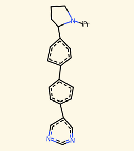 CC(C)N1CCCC1c1ccc(-c2ccc(-c3cncnc3)cc2)cc1